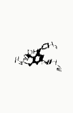 CCc1cc(N)cc(CC)c1C(=O)O